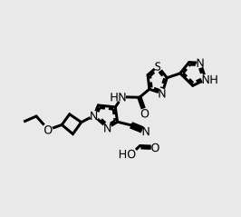 CCOC1CC(n2cc(NC(=O)c3csc(-c4cn[nH]c4)n3)c(C#N)n2)C1.O=CO